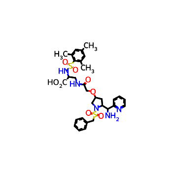 Cc1cc(C)c(S(=O)(=O)NC(CNC(=O)COC2CC(C(N)c3ccccn3)N(S(=O)(=O)Cc3ccccc3)C2)C(=O)O)c(C)c1